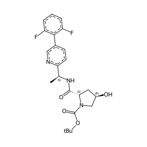 C[C@H](NC(=O)[C@@H]1C[C@@H](O)CN1C(=O)OC(C)(C)C)c1ccc(-c2c(F)cccc2F)cn1